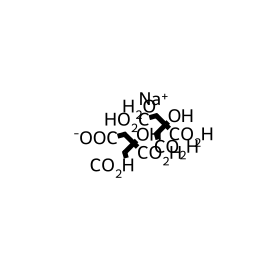 O.O=C(O)CC(O)(CC(=O)O)C(=O)O.O=C([O-])CC(O)(CC(=O)O)C(=O)O.[Na+]